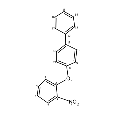 O=[N+]([O-])c1ccccc1Oc1ccc(-c2ccccc2)cc1